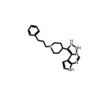 C1=Nc2[nH]ccc2C2=C(C3CCN(CCCc4ccccc4)CC3)NNN12